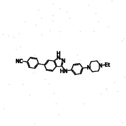 CCN1CCN(c2ccc(Nc3n[nH]c4cc(-c5ccc(C#N)cc5)ccc34)cc2)CC1